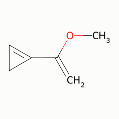 C=C(OC)C1=CC1